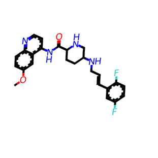 COc1ccc2nccc(NC(=O)C3CCC(NCC=Cc4cc(F)ccc4F)CN3)c2c1